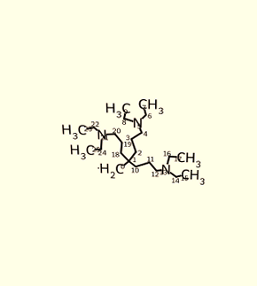 [CH2]C(CCCN(CC)CC)(CCCN(CC)CC)CCCN(CC)CC